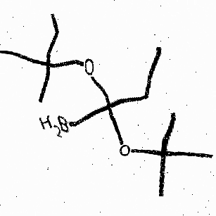 BC(CC)(OC(C)(C)C)OC(C)(C)C